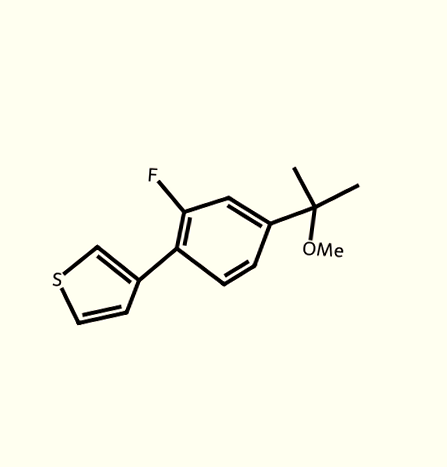 COC(C)(C)c1ccc(-c2ccsc2)c(F)c1